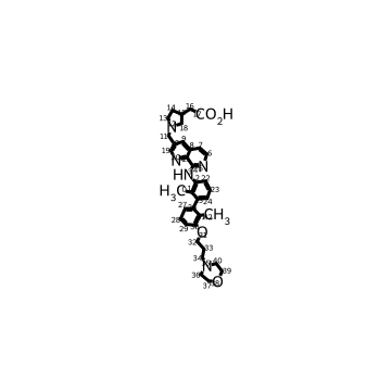 Cc1c(Nc2nccc3cc(CN4CCC(CC(=O)O)C4)cnc23)cccc1-c1cccc(OCCCN2CCOCC2)c1C